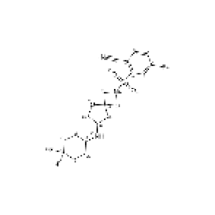 N#Cc1ccc(F)cc1S(=O)(=O)N1CC2(CC(NC3CCC(F)(F)CC3)CO2)C1